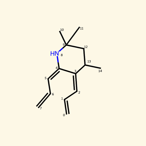 C=C/C=C1\C(=C/C=C)NC(C)(C)CC1C